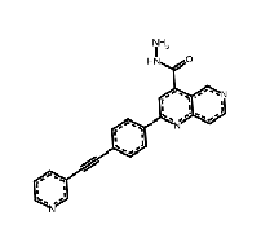 NNC(=O)c1cc(-c2ccc(C#Cc3cccnc3)cc2)nc2ccncc12